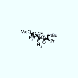 COC(OC(C(C)OC(=O)C(CC(C)(C)C)C(C)C)(C(F)(F)F)C(F)(F)F)C(C)C